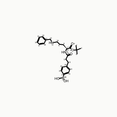 CC(C)(C)OC(=O)[C@H](CCCNCc1ccccc1)NC(=O)CCc1ccc(B(O)O)cc1